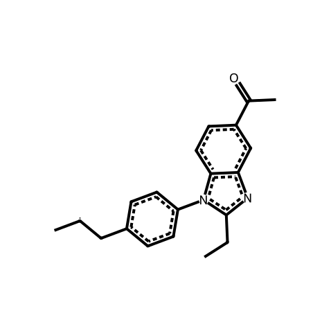 C[CH]Cc1ccc(-n2c(CC)nc3cc(C(C)=O)ccc32)cc1